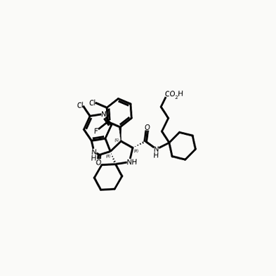 O=C(O)CCCC1(NC(=O)[C@@H]2NC3(CCCCC3)[C@@]3(C(=O)Nc4cc(Cl)ncc43)[C@H]2c2cccc(Cl)c2F)CCCCC1